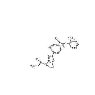 CCC(=O)N1CCc2cc(-c3ccc(C(=O)NCc4cnccc4C)cc3)ccc21